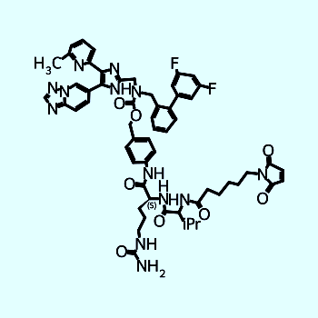 Cc1cccc(-c2nc(CN(Cc3ccccc3-c3cc(F)cc(F)c3)C(=O)OCc3ccc(NC(=O)[C@H](CCCNC(N)=O)NC(=O)C(NC(=O)CCCCCN4C(=O)C=CC4=O)C(C)C)cc3)[nH]c2-c2ccc3ncnn3c2)n1